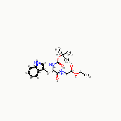 CCOC(=O)CNC(=O)[C@H](Cc1c[nH]c2ccccc12)NC(=O)OC(C)(C)C